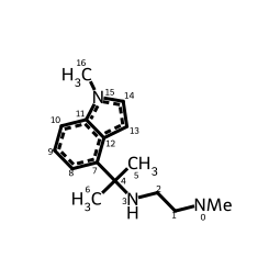 CNCCNC(C)(C)c1cccc2c1ccn2C